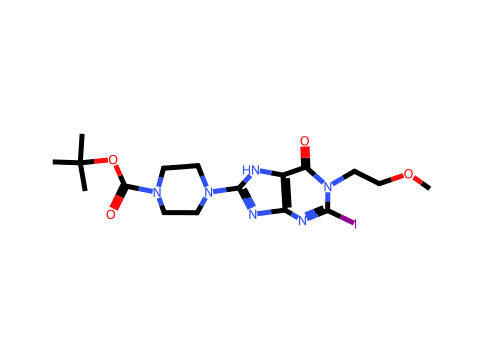 COCCn1c(I)nc2nc(N3CCN(C(=O)OC(C)(C)C)CC3)[nH]c2c1=O